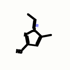 C/C=S1\N=C(O)C=C1C